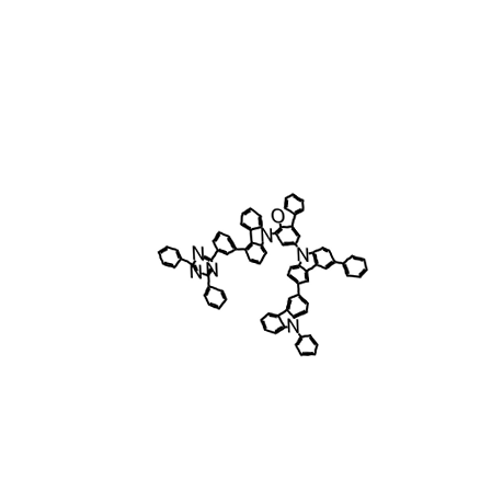 c1ccc(-c2ccc3c(c2)c2cc(-c4ccc5c(c4)c4ccccc4n5-c4ccccc4)ccc2n3-c2cc(-n3c4ccccc4c4c(-c5cccc(-c6nc(-c7ccccc7)nc(-c7ccccc7)n6)c5)cccc43)c3oc4ccccc4c3c2)cc1